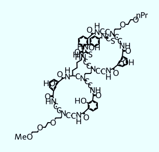 CCCOCCOCCN1CCNC(=O)c2cccc(c2O)C(=O)NCCN(CCN2CCNC(=O)c3cccc(c3O)C(=O)NCCN(CCOCCOCCOC)CCNC(=O)c3cccc(c3O)C(=O)NC(CCCCNC(=S)Nc3ccc(N=C=S)cc3)C2)CCNC(=O)c2cccc(c2O)C(=O)NCC1